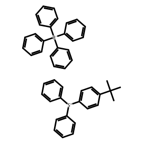 CC(C)(C)c1ccc([S+](c2ccccc2)c2ccccc2)cc1.c1ccc([B-](c2ccccc2)(c2ccccc2)c2ccccc2)cc1